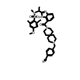 COc1cc(C)c(S(=O)(=O)N(C)C(C)c2nc3cccc(C(=O)N4CCC5(CCN(Cc6ccc(C#N)cc6)CC5)CC4)c3[nH]2)c(C)c1